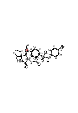 CCC1(CC)NC(=O)[N+](CC(N)=O)(c2cc(S(=O)(=O)Nc3ccc(Br)cc3)ccc2OC)C1=O